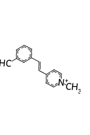 C[n+]1ccc(C=Cc2cccc(C=O)c2)cc1